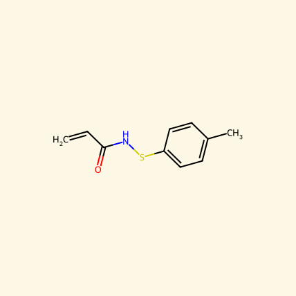 C=CC(=O)NSc1ccc(C)cc1